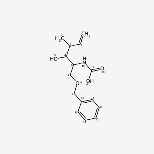 C=CC(C)C(O)C(COCc1ccccc1)NC(=O)O